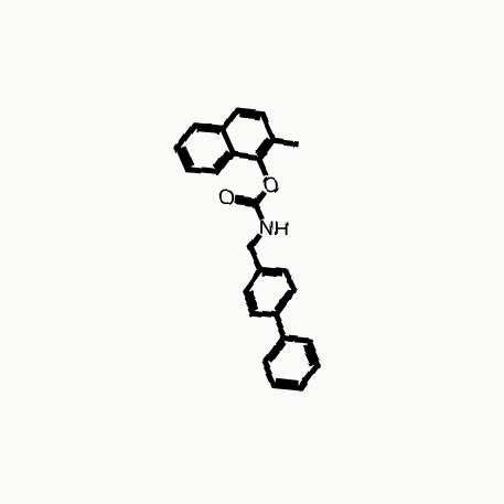 Cc1ccc2ccccc2c1OC(=O)NCc1ccc(-c2ccccc2)cc1